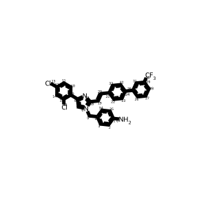 Nc1ccc(Cn2cc(-c3ccc(Cl)cc3Cl)nc2C=Cc2ccc(-c3cccc(C(F)(F)F)c3)cc2)cc1